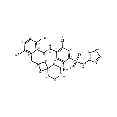 O=S(=O)(Nc1cscn1)c1cc(Cl)c(NCc2c(F)ccc(F)c2CN2CC3(CCOCC3)C2)cc1F